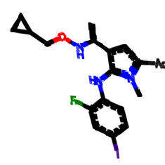 C=C(NOCC1CC1)c1cc(C(C)=O)n(C)c1Nc1ccc(I)cc1F